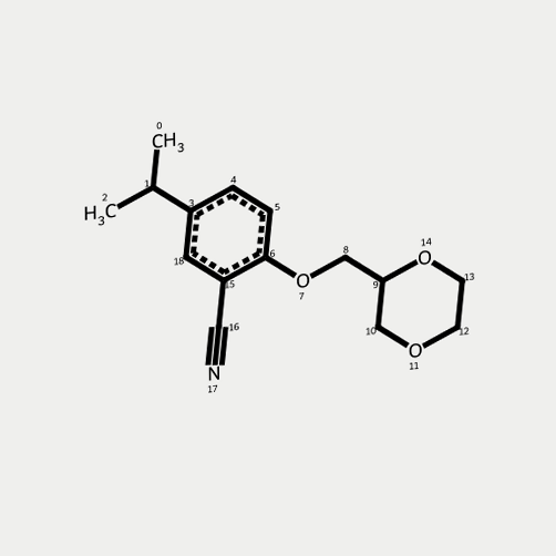 CC(C)c1ccc(OCC2COCCO2)c(C#N)c1